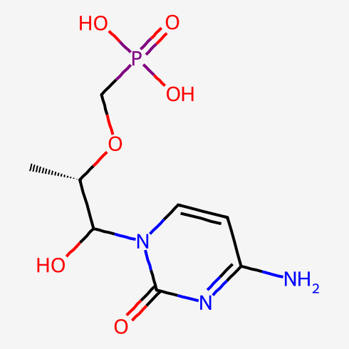 C[C@H](OCP(=O)(O)O)C(O)n1ccc(N)nc1=O